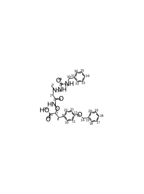 CN(CC(=O)NOC(Cc1ccc(OCc2ccccc2)cc1)C(=O)O)NC(=O)NCc1ccccc1